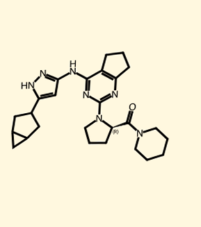 O=C([C@H]1CCCN1c1nc2c(c(Nc3cc(C4CC5CC5C4)[nH]n3)n1)CCC2)N1CCCCC1